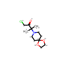 CC(C)(C(=O)CCl)N1CCC2(CC1)OCCO2